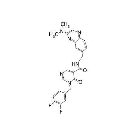 CN(C)c1cnc2ccc(CNC(=O)c3cncn(Cc4ccc(F)c(F)c4)c3=O)cc2n1